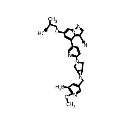 Bc1cc(CN2C3CN(c4ccc(-c5cc(OCC(C)C#C)cn6ncc(C#N)c56)cn4)CC32)cnc1OC